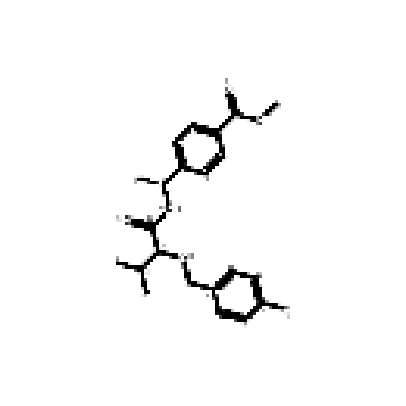 COC(=O)c1ccc([C@H](C)NC(=O)C(OCc2ccc(Cl)cc2)C(C)C)cc1